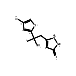 CC(N)(Cc1cc(=O)[nH][nH]1)c1cc(Br)cs1